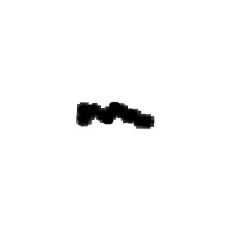 c1cc(-c2ccc3oc4cc5c(cc4c3c2)oc2ccc(-c3ccc4cc(-c6ccc7ccccc7c6)ccc4c3)cc25)cc(-c2cc3ccccc3c3ccccc23)c1